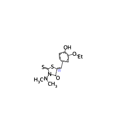 CCOc1cc(/C=C2\SC(=S)N(N(C)C)C2=O)ccc1O